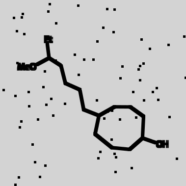 CCC(CCCCC1CCCC(O)CCC1)OC